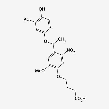 COc1cc(C(C)Oc2ccc(O)c(C(C)=O)c2)c([N+](=O)[O-])cc1OCCCC(=O)O